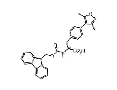 Cc1noc(C)c1-c1ccc(C[C@H](NC(=O)OCC2c3ccccc3-c3ccccc32)C(=O)O)cc1